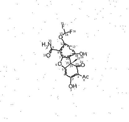 CC(=O)C1=C(O)C=C2Oc3c(C(N)=O)c(OC(F)F)cc(O)c3[C@]2(C)C1=O